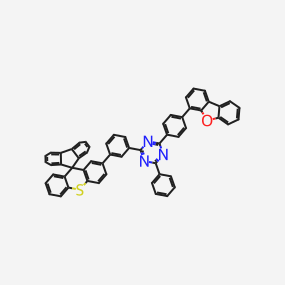 c1ccc(-c2nc(-c3ccc(-c4cccc5c4oc4ccccc45)cc3)nc(-c3cccc(-c4ccc5c(c4)C4(c6ccccc6S5)c5ccccc5-c5ccccc54)c3)n2)cc1